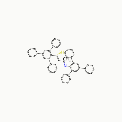 CC(/C=C(\S)c1c(-c2ccccc2)cc(-c2ccccc2)cc1-c1ccccc1)=N\c1c(-c2ccccc2)cc(-c2ccccc2)cc1-c1ccccc1